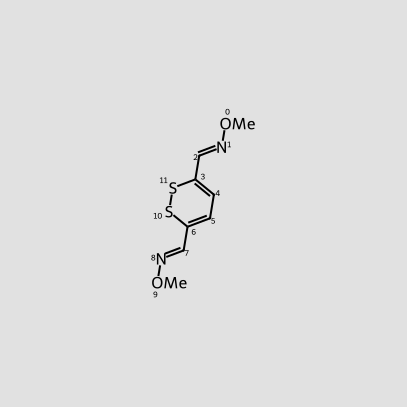 CON=CC1=CC=C(C=NOC)SS1